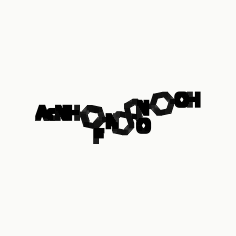 CC(=O)Nc1ccc(N2CCCC3(CCN(C4CCC(O)CC4)C3=O)C2)c(F)c1